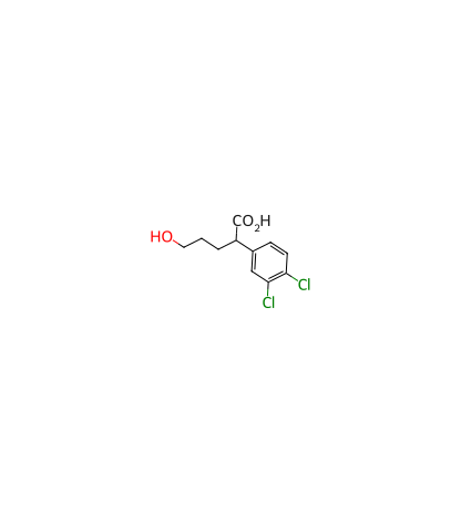 O=C(O)C(CCCO)c1ccc(Cl)c(Cl)c1